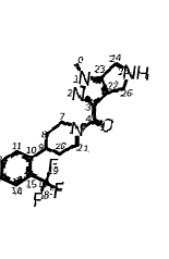 Cn1nc(C(=O)N2CCC(c3ccccc3C(F)(F)F)CC2)c2c1CNC2